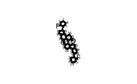 Fc1ccccc1-c1ccc2cc3oc4ccc5c6cc(-c7ccccc7F)ccc6cc6oc7ccc(c2c1)c3c7-c4c65